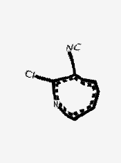 [C-]#[N+]c1cccnc1Cl